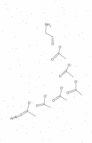 CC(=O)[O-].CC(=O)[O-].CC(=O)[O-].CC(=O)[O-].CC(=O)[O-].CC(=O)[O-].NCC=O.[Al+3].[Al+3]